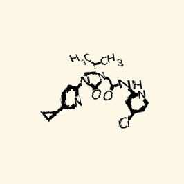 CC(C)[C@H]1CN(c2ccc(C3CC3)cn2)C(=O)N1CC(=O)Nc1cc(Cl)ccn1